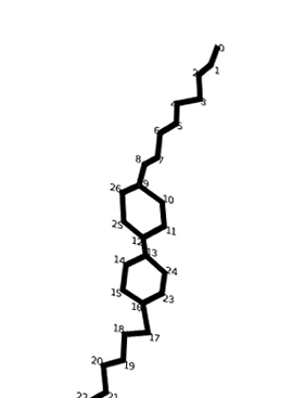 CCCCCCCCCC1CCC(C2CCC(CCCCCC)CC2)CC1